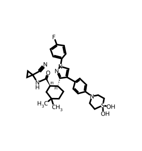 CC1(C)CC[C@@H](c2nn(-c3ccc(F)cc3)cc2-c2ccc(N3CCS(O)(O)CC3)cc2)[C@H](C(=O)NC2(C#N)CC2)C1